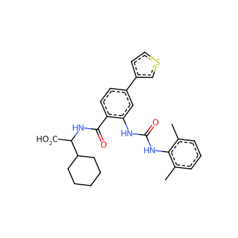 Cc1cccc(C)c1NC(=O)Nc1cc(-c2ccsc2)ccc1C(=O)NC(C(=O)O)C1CCCCC1